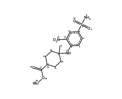 CC1(Nc2ccc(S(N)(=O)=O)cc2[N+](=O)[O-])CCN(C(=O)OC(C)(C)C)CC1